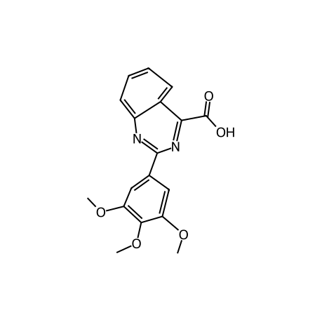 COc1cc(-c2nc(C(=O)O)c3ccccc3n2)cc(OC)c1OC